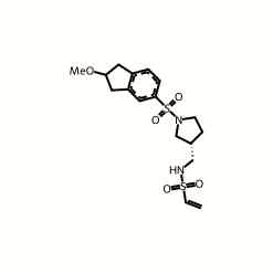 C=CS(=O)(=O)NC[C@H]1CCN(S(=O)(=O)c2ccc3c(c2)CC(OC)C3)C1